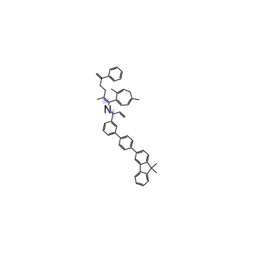 C=C/C(=N\C(C1=CC=C(C)CC=C1C)=C(/C)CCC(=C)c1ccccc1)c1cccc(-c2ccc(-c3ccc4c(c3)-c3ccccc3C4(C)C)cc2)c1